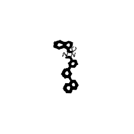 c1cc(-c2cccc(-c3cccc4ccccc34)c2)cc(-c2cnc3c(n2)oc2ccc4ccccc4c23)c1